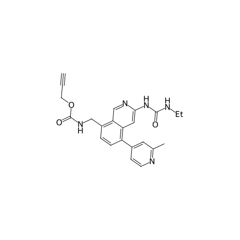 C#CCOC(=O)NCc1ccc(-c2ccnc(C)c2)c2cc(NC(=O)NCC)ncc12